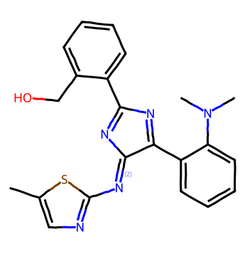 Cc1cnc(/N=C2\N=C(c3ccccc3CO)N=C2c2ccccc2N(C)C)s1